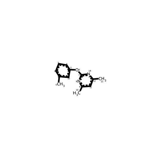 Cc1cccc(Oc2nc(C)cc(C)n2)c1